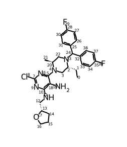 CC[C@@H]1CN(c2nc(Cl)nc(NC[C@@H]3CCCO3)c2N)[C@@H](C)CN1C(c1ccc(F)cc1)c1ccc(F)cc1